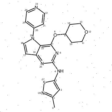 Cc1cc(Nc2nc(OC3CCOCC3)c3c(ccn3-c3ccncc3)n2)sn1